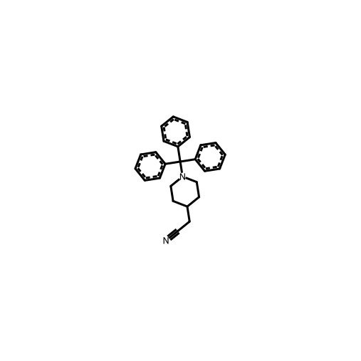 N#CCC1CCN(C(c2ccccc2)(c2ccccc2)c2ccccc2)CC1